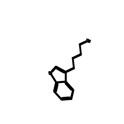 BrCCCCc1coc2ccccc12